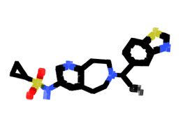 CC(c1ccc2scnc2c1)N1CCc2cc(NS(=O)(=O)C3CC3)cnc2CC1